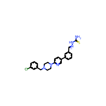 NC(=S)N/N=C/c1cccc(-c2ccc(N3CCN(Cc4cccc(Cl)c4)CC3)nc2)c1